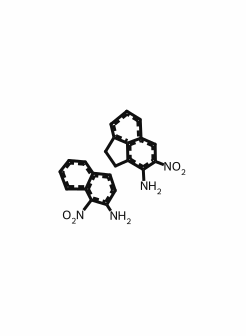 Nc1c([N+](=O)[O-])cc2cccc3c2c1CC3.Nc1ccc2ccccc2c1[N+](=O)[O-]